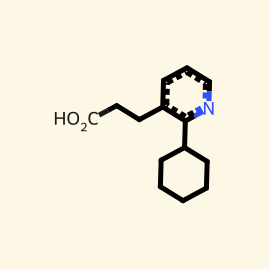 O=C(O)CCc1cccnc1C1CCCCC1